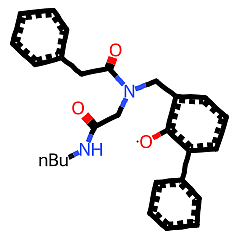 CCCCNC(=O)CN(Cc1cccc(-c2ccccc2)c1[O])C(=O)Cc1ccccc1